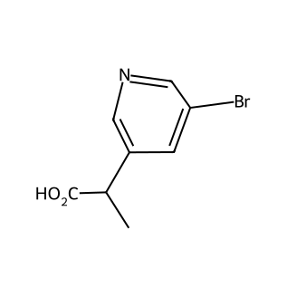 CC(C(=O)O)c1cncc(Br)c1